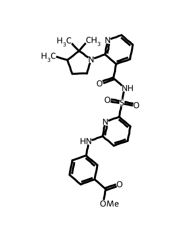 COC(=O)c1cccc(Nc2cccc(S(=O)(=O)NC(=O)c3cccnc3N3CCC(C)C3(C)C)n2)c1